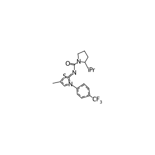 Cc1cn(-c2ccc(C(F)(F)F)cc2)c(=NC(=O)N2CCCC2C(C)C)s1